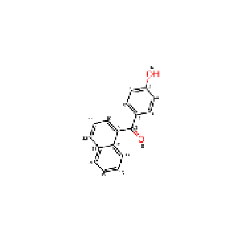 O=C(c1ccc(O)cc1)c1cccc2ccccc12